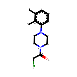 Cc1cccc(N2CCN(C(=O)CBr)CC2)c1C